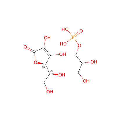 O=C1O[C@H]([C@@H](O)CO)C(O)=C1O.O=P(O)(O)OCC(O)CO